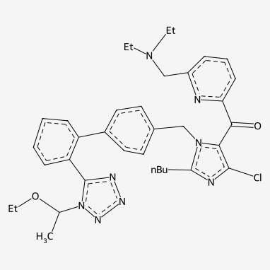 CCCCc1nc(Cl)c(C(=O)c2cccc(CN(CC)CC)n2)n1Cc1ccc(-c2ccccc2-c2nnnn2C(C)OCC)cc1